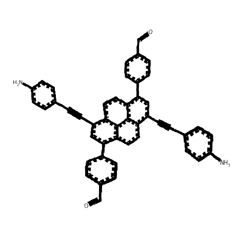 Nc1ccc(C#Cc2cc(-c3ccc(C=O)cc3)c3ccc4c(C#Cc5ccc(N)cc5)cc(-c5ccc(C=O)cc5)c5ccc2c3c45)cc1